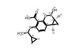 C[C@@H](Sc1ccc2c(c1C(=O)O)OB(O)[C@H]1C[C@@H]21)C1CC1